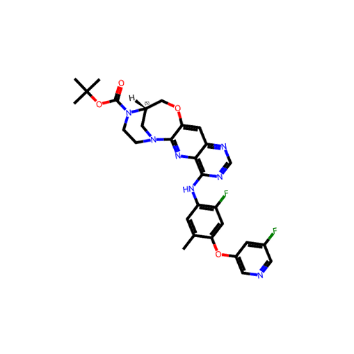 Cc1cc(Nc2ncnc3cc4c(nc23)N2CCN(C(=O)OC(C)(C)C)[C@H](CO4)C2)c(F)cc1Oc1cncc(F)c1